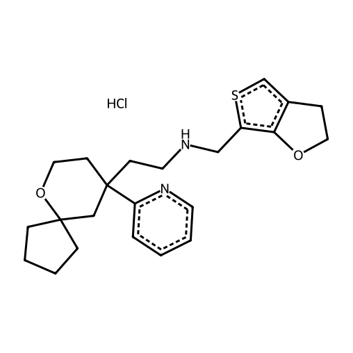 Cl.c1ccc(C2(CCNCc3scc4c3OCC4)CCOC3(CCCC3)C2)nc1